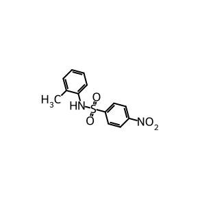 Cc1ccccc1NS(=O)(=O)c1ccc([N+](=O)[O-])cc1